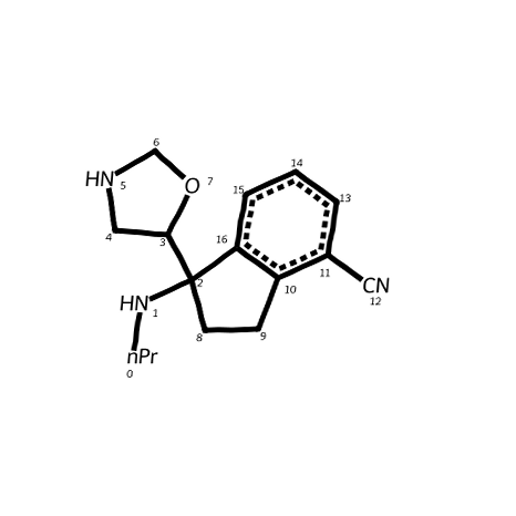 CCCNC1(C2CNCO2)CCc2c(C#N)cccc21